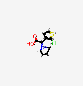 O=C(O)C(c1ccsc1Cl)N1CCCC1